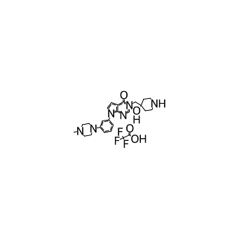 CN1CCN(c2cccc(-n3ccc4c(=O)n(CC5(O)CCNCC5)cnc43)c2)CC1.O=C(O)C(F)(F)F